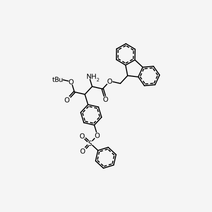 CC(C)(C)OC(=O)C(c1ccc(OS(=O)(=O)c2ccccc2)cc1)C(N)C(=O)OCC1c2ccccc2-c2ccccc21